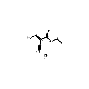 CCOC(=O)/C(C#N)=C/O.[KH]